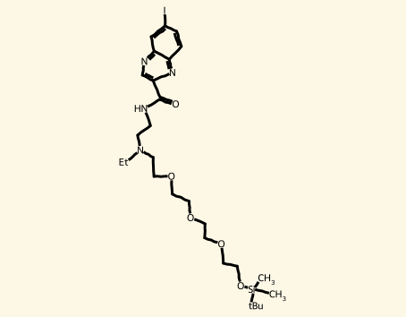 CCN(CCNC(=O)c1cnc2cc(I)ccc2n1)CCOCCOCCOCCO[Si](C)(C)C(C)(C)C